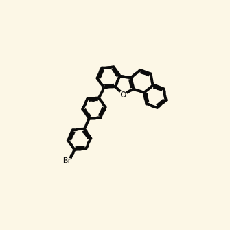 Brc1ccc(-c2ccc(-c3cccc4c3oc3c5ccccc5ccc43)cc2)cc1